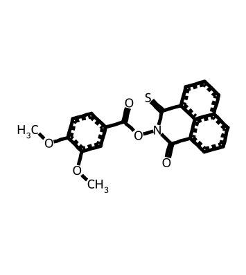 COc1ccc(C(=O)ON2C(=O)c3cccc4cccc(c34)C2=S)cc1OC